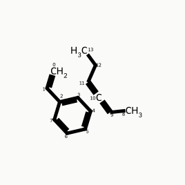 C=Cc1ccccc1.CC=C=CCC